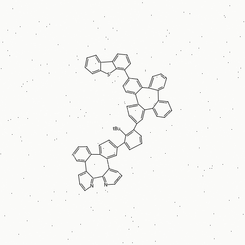 CC(C)(C)c1c(-c2ccc3c(c2)-c2ccccc2-c2ccccc2-c2cc(-c4cccc5c4sc4ccccc45)ccc2-3)cccc1-c1ccc2c(c1)-c1cccnc1-c1ncccc1-c1ccccc1-2